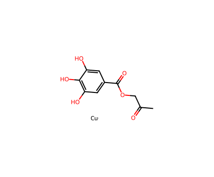 CC(=O)COC(=O)c1cc(O)c(O)c(O)c1.[Cu]